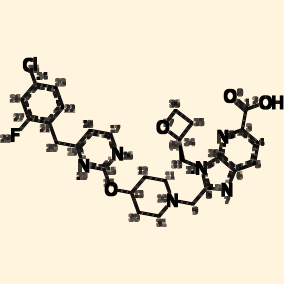 O=C(O)c1ccc2nc(CN3CCC(Oc4nccc(Cc5ccc(Cl)cc5F)n4)CC3)n(C[C@@H]3CCO3)c2n1